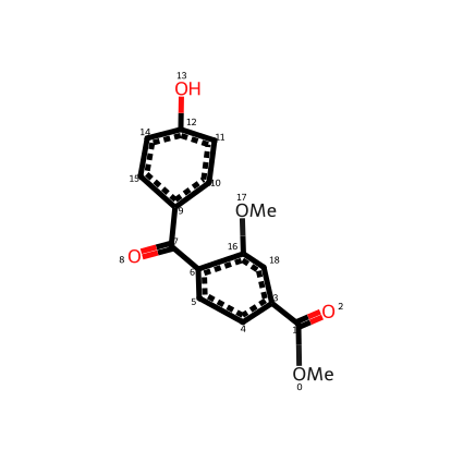 COC(=O)c1ccc(C(=O)c2ccc(O)cc2)c(OC)c1